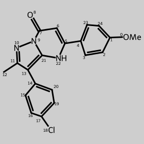 COc1ccc(-c2cc(=O)n3nc(C)c(-c4ccc(Cl)cc4)c3[nH]2)cc1